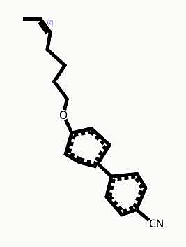 C/C=C\CCCCOc1ccc(-c2ccc(C#N)cc2)cc1